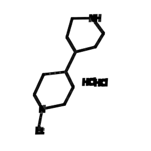 CCN1CCC(C2CCNCC2)CC1.Cl.Cl